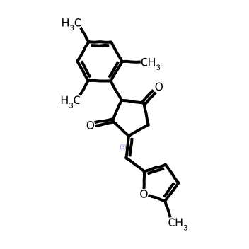 Cc1cc(C)c(C2C(=O)C/C(=C\c3ccc(C)o3)C2=O)c(C)c1